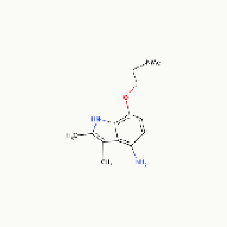 CNCCOc1ccc(N)c2c(C)c(C)[nH]c12